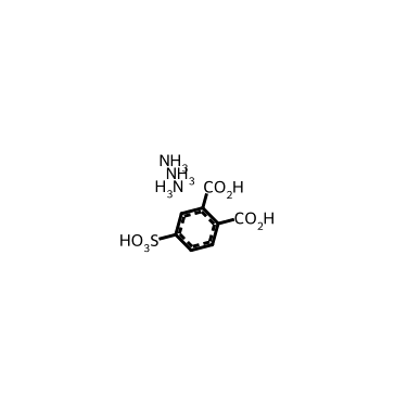 N.N.N.O=C(O)c1ccc(S(=O)(=O)O)cc1C(=O)O